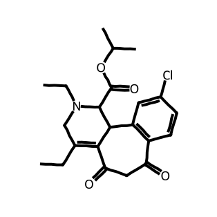 CCC1=C2C(=O)CC(=O)c3ccc(Cl)cc3C2C(C(=O)OC(C)C)N(CC)C1